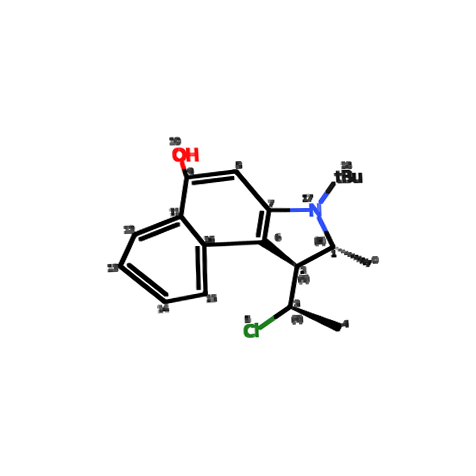 C[C@@H]1[C@@H]([C@@H](C)Cl)c2c(cc(O)c3ccccc23)N1C(C)(C)C